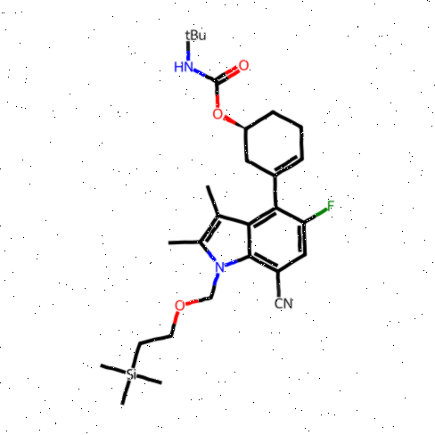 Cc1c(C)n(COCC[Si](C)(C)C)c2c(C#N)cc(F)c(C3=CCC[C@H](OC(=O)NC(C)(C)C)C3)c12